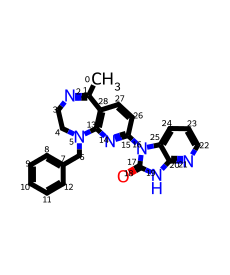 CC1=NCCN(Cc2ccccc2)c2nc(-n3c(=O)[nH]c4ncccc43)ccc21